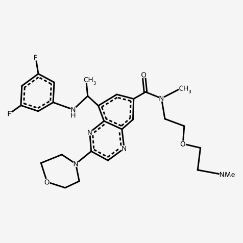 CNCCOCCN(C)C(=O)c1cc(C(C)Nc2cc(F)cc(F)c2)c2nc(N3CCOCC3)cnc2c1